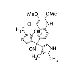 COC1=C(Cl)c2cc(C(N=O)(C3=CNC(C)N3C)c3cnc(C)n3C)ccc2NC1OC